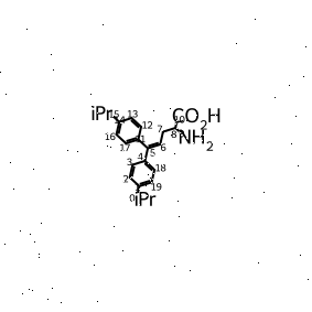 CC(C)c1ccc(C(=CCC(N)C(=O)O)c2ccc(C(C)C)cc2)cc1